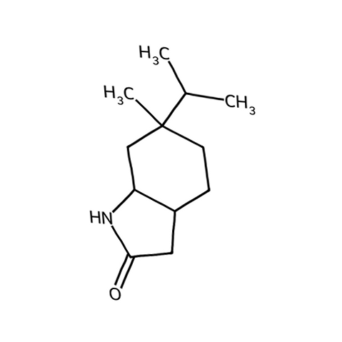 CC(C)C1(C)CCC2CC(=O)NC2C1